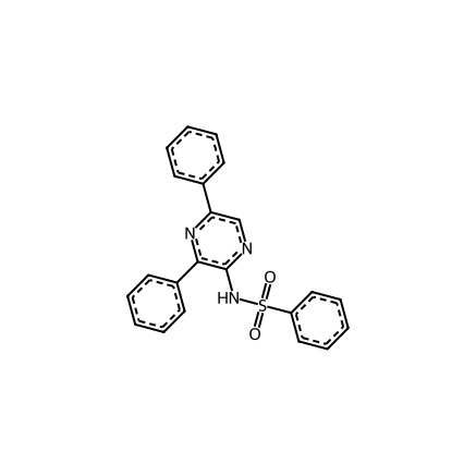 O=S(=O)(Nc1ncc(-c2ccccc2)nc1-c1ccccc1)c1ccccc1